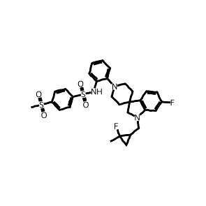 CC1(F)CC1CN1CC2(CCN(c3ccccc3NS(=O)(=O)c3ccc(S(C)(=O)=O)cc3)CC2)c2ccc(F)cc21